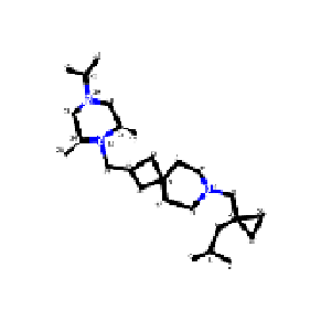 CC(C)CC1(CN2CCC3(CC2)CC(CN2[C@H](C)CN(C(C)C)C[C@@H]2C)C3)CC1